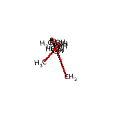 CCCCCCCCCCCCCCCCCCCCCCCCCCN[C@@H](CO[C@H]1O[C@H](COC(=O)NC(C)c2ccccc2)[C@H](O)[C@H](O)[C@H]1O)[C@H](O)[C@H](O)CCCCCCCCCCCCCC